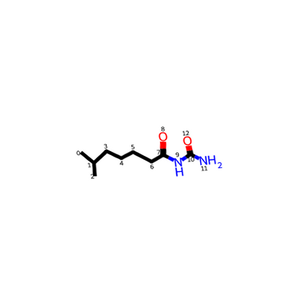 CC(C)CCCCC(=O)NC(N)=O